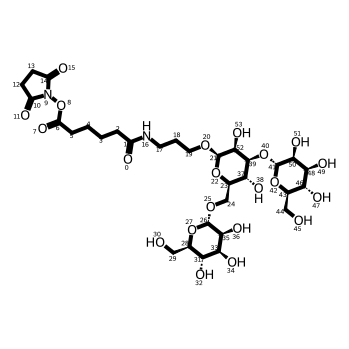 O=C(CCCCC(=O)ON1C(=O)CCC1=O)NCCCO[C@@H]1O[C@H](CO[C@H]2O[C@H](CO)[C@@H](O)[C@H](O)[C@@H]2O)[C@@H](O)[C@H](O[C@H]2O[C@H](CO)[C@@H](O)[C@H](O)[C@@H]2O)[C@@H]1O